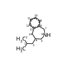 CC(C)CC1CNCc2ccccc2C1